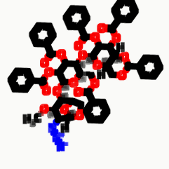 CO[C@H]1C(N=[N+]=[N-])[C@@H]2OCC(O2)[C@@H]1O[C@@H]1O[C@@H](COC(=O)c2ccccc2)[C@@H](O[C@H]2O[C@H]3COC(c4ccccc4)O[C@H]3C(OC(=O)c3ccccc3)C2OC(=O)c2ccccc2)C(OC(=O)c2ccccc2)C1OC(=O)c1ccccc1